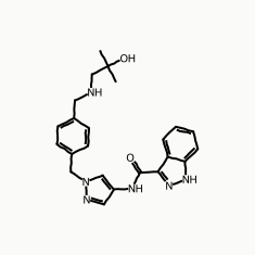 CC(C)(O)CNCc1ccc(Cn2cc(NC(=O)c3n[nH]c4ccccc34)cn2)cc1